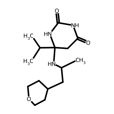 CC(CC1CCOCC1)NC1(C(C)C)CC(=O)NC(=O)N1